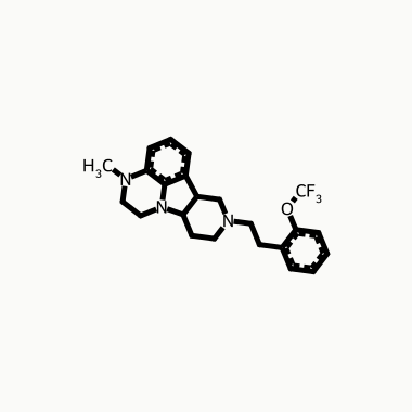 CN1CCN2c3c(cccc31)C1CN(CCc3ccccc3OC(F)(F)F)CCC12